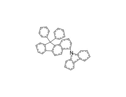 c1ccc(C2(c3ccccc3)c3ccccc3-c3ccc4c(-n5c6ccccc6c6ccccc65)cccc4c32)cc1